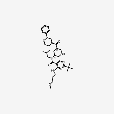 COCCCNc1nc(C(C)(C)C)ncc1C(=O)N(CC(C)C)[C@@H]1CNC[C@H](C(=O)N2CCOC(c3ccccc3)C2)C1